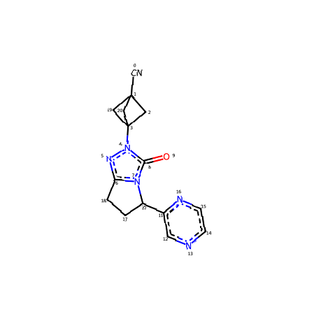 N#CC12CC(n3nc4n(c3=O)C(c3cnccn3)CC4)(C1)C2